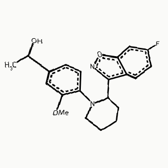 COc1cc(C(C)O)ccc1N1CCCCC1c1noc2cc(F)ccc12